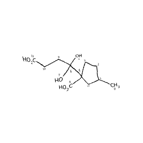 CC1CCC(C(=O)O)(C(O)(O)CCC(=O)O)C1